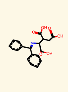 O=C(O)CC(C(=O)O)C(N=C(c1ccccc1)c1ccccc1)C(=O)O